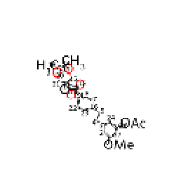 COc1cc(/C=C/c2ccc(OC(=O)C3(C)COC(C)(C)OC3)cc2)cc(OC(C)=O)c1